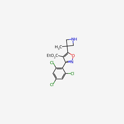 CCOC(=O)c1c(-c2c(Cl)cc(Cl)cc2Cl)noc1C1(C)CNC1